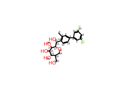 Cc1cc(-c2cc(F)cc(F)c2)ccc1[C@@H](O)[C@H]1OCC(CO)[C@@H](O)C(O)C1O